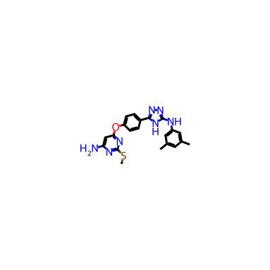 CSc1nc(N)cc(Oc2ccc(-c3nnc(Nc4cc(C)cc(C)c4)[nH]3)cc2)n1